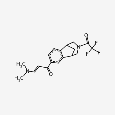 CN(C)C=CC(=O)c1ccc2c(c1)C1CC2CN(C(=O)C(F)(F)F)C1